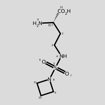 N[C@@H](CCNS(=O)(=O)N1CCC1)C(=O)O